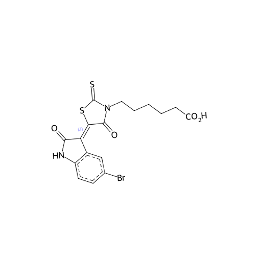 O=C(O)CCCCCN1C(=O)/C(=C2/C(=O)Nc3ccc(Br)cc32)SC1=S